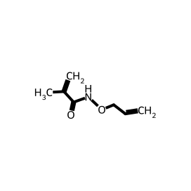 C=CCONC(=O)C(=C)C